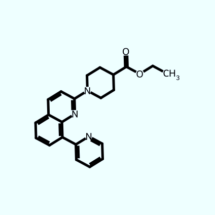 CCOC(=O)C1CCN(c2ccc3cccc(-c4ccccn4)c3n2)CC1